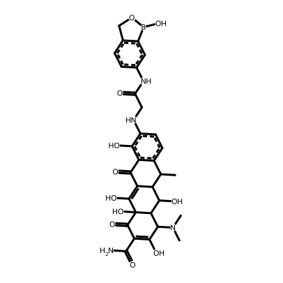 CC1c2ccc(NCC(=O)Nc3ccc4c(c3)B(O)OC4)c(O)c2C(=O)C2=C(O)C3(O)C(=O)C(C(N)=O)=C(O)C(N(C)C)C3C(O)C21